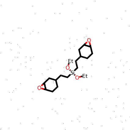 CCO[Si](CCC1CCC2OC2C1)(CCC1CCC2OC2C1)OCC